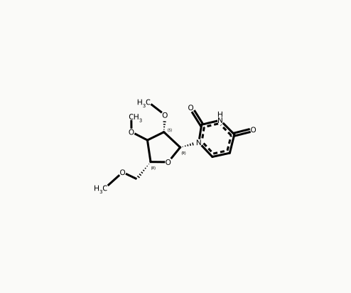 COC[C@H]1O[C@@H](n2ccc(=O)[nH]c2=O)[C@@H](OC)C1OC